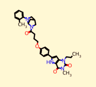 CCCn1c(=O)n(C)c(=O)c2[nH]c(-c3ccc(OCCCC(=O)N4CC5CC4N(c4ccccc4C)C5)cc3)cc21